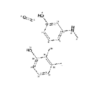 C=O.CNc1cccc(O)c1.Cc1cccc(O)c1C